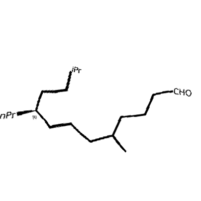 CCC[C@H](CCCC(C)CCCC=O)CCC(C)C